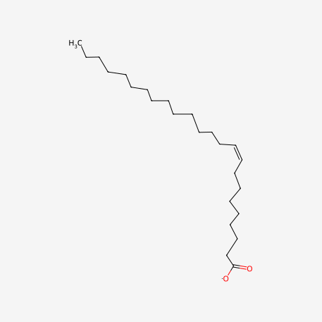 CCCCCCCCCCCCCC/C=C\CCCCCCCC([O])=O